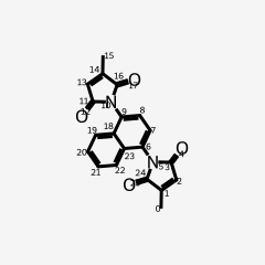 CC1=CC(=O)N(c2ccc(N3C(=O)C=C(C)C3=O)c3ccccc23)C1=O